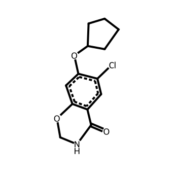 O=C1NCOc2cc(OC3CCCC3)c(Cl)cc21